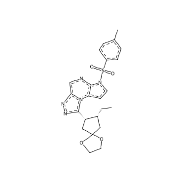 CC[C@@H]1CC2(C[C@@H]1c1nnc3cnc4c(ccn4S(=O)(=O)c4ccc(C)cc4)n13)OCCO2